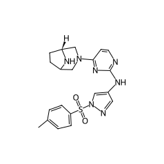 Cc1ccc(S(=O)(=O)n2cc(Nc3nccc(N4CC5CC[C@H](C4)N5)n3)cn2)cc1